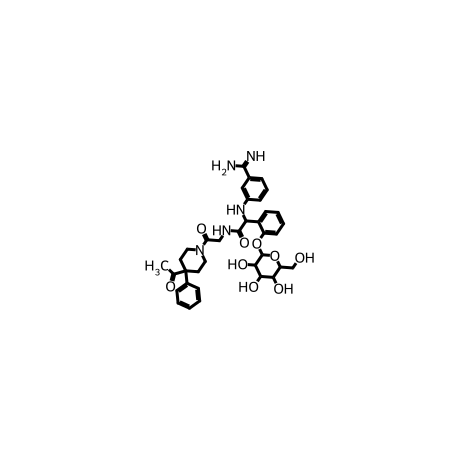 CC(=O)C1(c2ccccc2)CCN(C(=O)CNC(=O)C(Nc2cccc(C(=N)N)c2)c2ccccc2OC2OC(CO)C(O)C(O)C2O)CC1